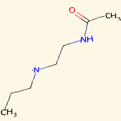 CCC[N]CCNC(C)=O